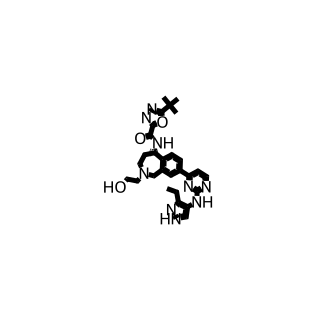 CCc1n[nH]cc1Nc1nccc(-c2ccc3c(c2)CN(CCO)CC[C@H]3NC(=O)c2nnc(C(C)(C)C)o2)n1